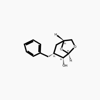 O[C@@H]1[C@H](Cc2ccccc2)C[C@@H]2CO[C@@H]1O2